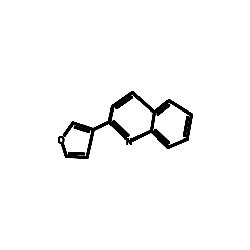 c1ccc2nc(-c3ccoc3)ccc2c1